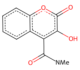 CNC(=O)c1c(O)c(=O)oc2ccccc12